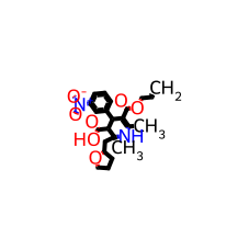 C=CCOC(=O)C1=C(C)NC(C)(CC2CCCO2)C(C(=O)O)C1c1cccc([N+](=O)[O-])c1